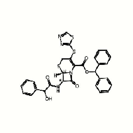 O=C(OC(c1ccccc1)c1ccccc1)C1=C(Sc2nncs2)CS[C@H]2[C@H](NC(=O)C(O)c3ccccc3)C(=O)N12